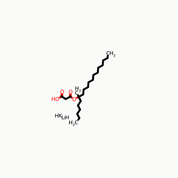 CCCCCCCCCCCCC(C)(CCCCCC)OC(=O)CC(=O)O.[KH].[LiH]